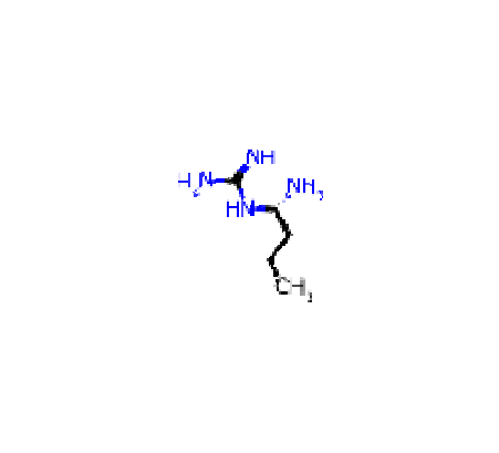 CCC[C@@H](N)NC(=N)N